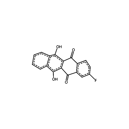 O=C1c2ccc(F)cc2C(=O)c2c1c(O)c1ccccc1c2O